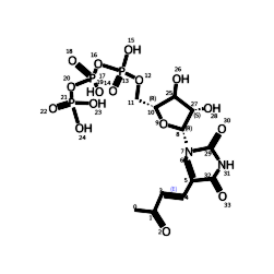 CC(=O)/C=C/c1cn([C@@H]2O[C@H](COP(=O)(O)OP(=O)(O)OP(=O)(O)O)C(O)[C@@H]2O)c(=O)[nH]c1=O